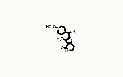 Cc1c(C(C)C2CCN(C(=O)O)CC2)sc2c1C(=O)NCC2